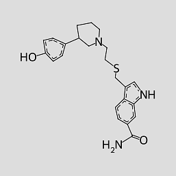 NC(=O)c1ccc2c(CSCCN3CCCC(c4ccc(O)cc4)C3)c[nH]c2c1